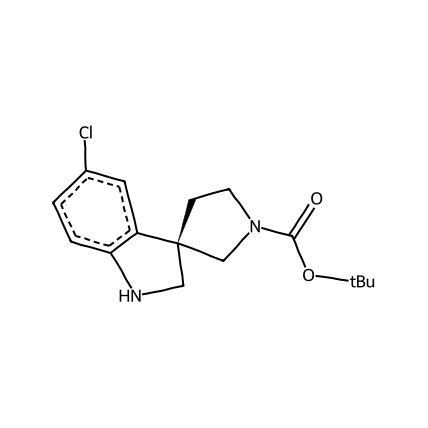 CC(C)(C)OC(=O)N1CC[C@]2(CNc3ccc(Cl)cc32)C1